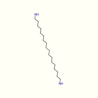 [NH]CCCCCCCCCCCCCCCCCC[NH]